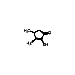 CC1=C(O)C(=O)CC1C